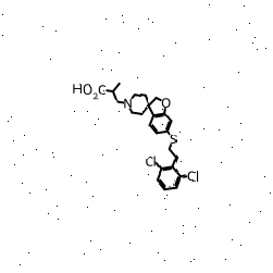 CC(CN1CCC2(CC1)COc1cc(SCCc3c(Cl)cccc3Cl)ccc12)C(=O)O